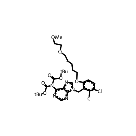 COCCOC[CH]CCCOc1ccc(Cl)c(Cl)c1Cn1cnc2c(N(C(=O)OC(C)(C)C)C(=O)OC(C)(C)C)ncnc21